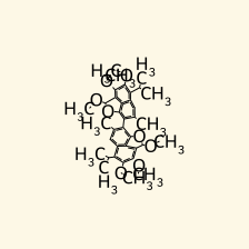 COc1c(OC)c2c3c(c(-c4c(C)cc5c(C(C)C)c(OC)c(OC)c6c5c4OC6OC)c(C)cc3c1C(C)C)OC2OC